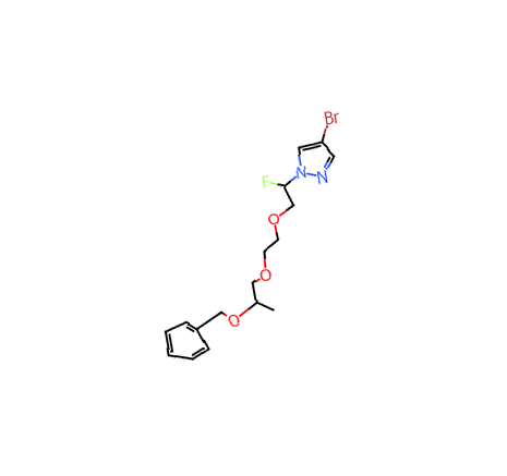 CC(COCCOCC(F)n1cc(Br)cn1)OCc1ccccc1